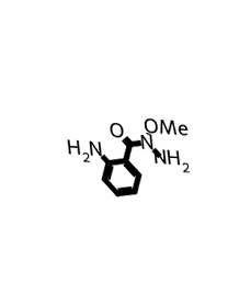 CON(N)C(=O)c1ccccc1N